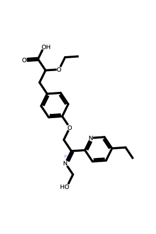 CCOC(Cc1ccc(OC/C(=N/CO)c2ccc(CC)cn2)cc1)C(=O)O